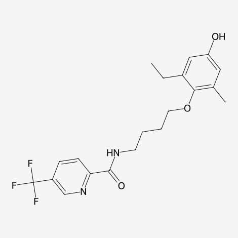 CCc1cc(O)cc(C)c1OCCCCNC(=O)c1ccc(C(F)(F)F)cn1